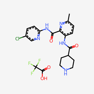 Cc1ccc(NC(=O)C2CCNCC2)c(C(=O)Nc2ccc(Cl)cn2)n1.O=C(O)C(F)(F)F